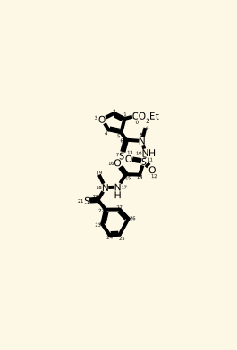 CCOC(=O)c1cocc1C(=S)N(C)NS(=O)(=O)CC(=O)NN(C)C(=S)c1ccccc1